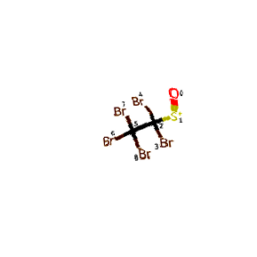 O=[S+]C(Br)(Br)C(Br)(Br)Br